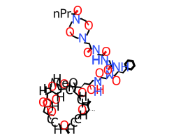 C=C1C[C@@H]2CC[C@@]34CC5OC6C(O[C@H]7CC[C@H](CC(=O)C[C@@H]8[C@@H](OC)[C@@H](C[C@H](O)CNC(=O)CNC(=O)[C@H](Cc9ccccc9)NC(=O)CNC(=O)CNC(=O)CCN9CCOCCN(C(=O)CCC)CCOCC9)O[C@H]8C[C@H]8O[C@@H](CC[C@@H]1O2)C[C@@H](C)C8=C)O[C@@H]7[C@@H]6O3)[C@H]5O4